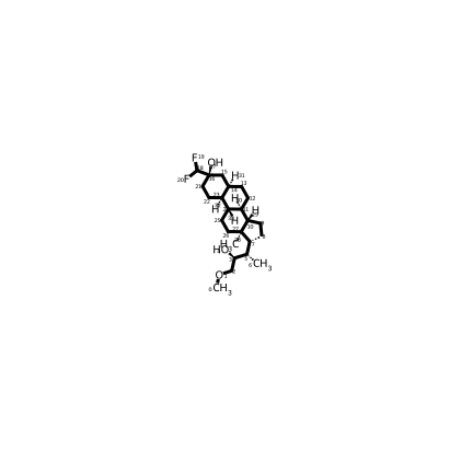 COC[C@@H](O)[C@@H](C)[C@H]1CC[C@H]2[C@@H]3CC[C@@H]4C[C@@](O)(C(F)F)CC[C@@H]4[C@H]3CC[C@]12C